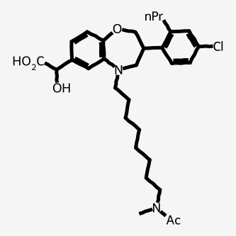 CCCc1cc(Cl)ccc1C1COc2ccc(C(O)C(=O)O)cc2N(CCCCCCCCN(C)C(C)=O)C1